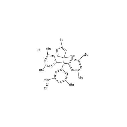 CCC1=C[C]([Ti+3])([Si](c2cc(C(C)(C)C)cc(C(C)(C)C)c2)(c2cc(C(C)(C)C)cc(C(C)(C)C)c2)c2cc(C(C)(C)C)cc(C(C)(C)C)c2)C=C1.[Cl-].[Cl-].[Cl-]